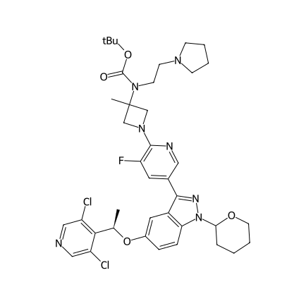 C[C@@H](Oc1ccc2c(c1)c(-c1cnc(N3CC(C)(N(CCN4CCCC4)C(=O)OC(C)(C)C)C3)c(F)c1)nn2C1CCCCO1)c1c(Cl)cncc1Cl